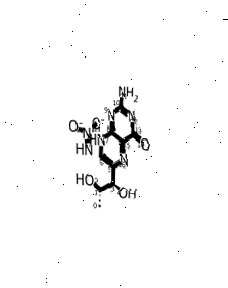 C[C@H](O)[C@H](O)c1c[nH]c2nc(N)nc(=O)c-2n1.N=[N+]([O-])[O-]